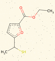 CCOC(=O)c1ccc(C(C)S)o1